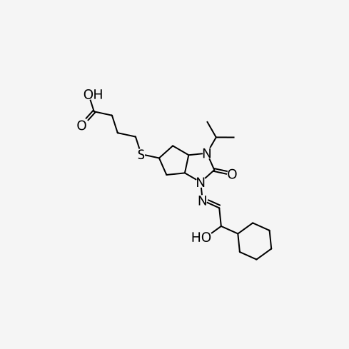 CC(C)N1C(=O)N(/N=C/C(O)C2CCCCC2)C2CC(SCCCC(=O)O)CC21